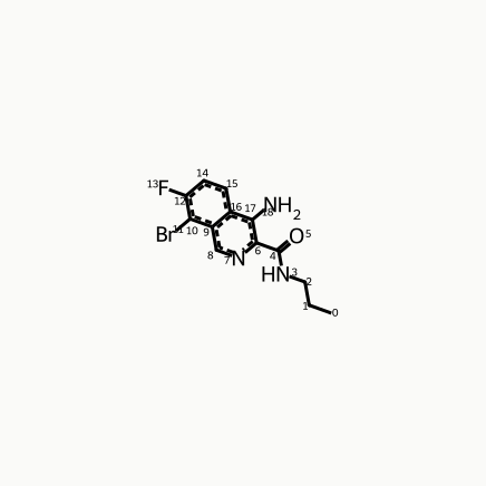 CCCNC(=O)c1ncc2c(Br)c(F)ccc2c1N